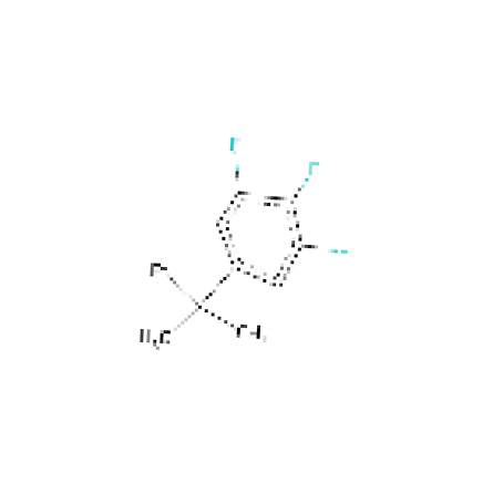 CCC(C)(C)c1cc(F)c(F)c(F)c1